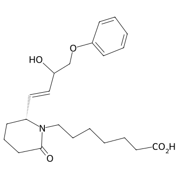 O=C(O)CCCCCCN1C(=O)CCC[C@@H]1/C=C/C(O)COc1ccccc1